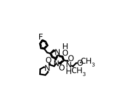 COCC(C)NC(=O)c1c(O)c2ncc(Cc3ccc(F)cc3)cc2n(CC(=O)N2CCCCC2)c1=O